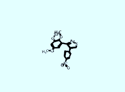 COc1cc(OC)c(OC)c(-c2nscc2-c2ccc([N+](=O)[O-])cc2)c1